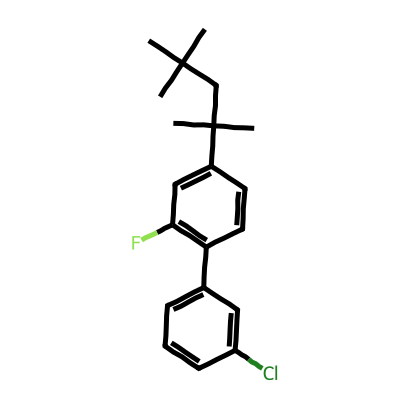 CC(C)(C)CC(C)(C)c1ccc(-c2cccc(Cl)c2)c(F)c1